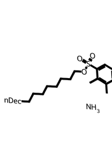 CCCCCCCCCCCCCCCCCCOS(=O)(=O)c1cccc(C)c1C.N